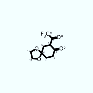 O=C1CCC2(CC1C(=O)C(F)(F)F)OCCO2